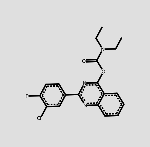 CCN(CC)C(=O)Oc1nc(-c2ccc(F)c(Cl)c2)nc2ccccc12